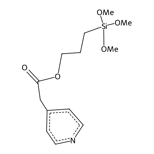 CO[Si](CCCOC(=O)Cc1ccncc1)(OC)OC